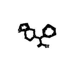 C=C(CC)C(c1ccccc1)N1CCc2sccc2C1